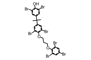 CC(C)(c1cc(Br)c(O)c(Br)c1)c1cc(Br)c(OCCCOc2c(Br)cc(Br)cc2Br)c(Br)c1